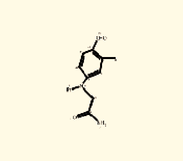 Cc1cc(N(CC(N)=O)C(C)C)ccc1C=O